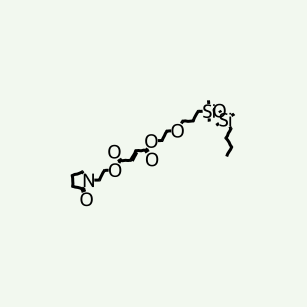 CCCC[Si](C)(C)O[Si](C)(C)CCCOCCOC(=O)/C=C/C(=O)OCCN1CCCC1=O